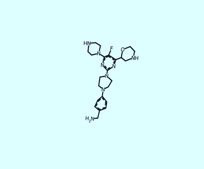 NCc1ccc(N2CCN(c3nc(C4CNCCO4)c(F)c(N4CCNCC4)n3)CC2)cc1